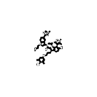 COCCn1cc(N2CC(C)n3c(c(CCCOc4cc(C)c(Cl)c(C)c4)c4ccc(Cl)c(-c5c(C)nn(C)c5C)c43)C2=O)c2cc(-c3ncn(C)n3)ccc21